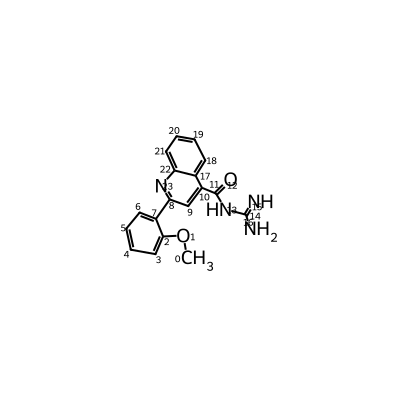 COc1ccccc1-c1cc(C(=O)NC(=N)N)c2ccccc2n1